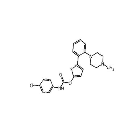 CN1CCN(c2ccccc2-c2ccc(OC(=O)Nc3ccc(Cl)cc3)s2)CC1